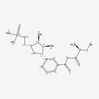 CC(C)C[C@H](N)C(=O)OC(=O)c1ccc[n+]([C@@H]2O[C@H](COP(=O)(O)O)[C@@H](O)[C@H]2O)c1